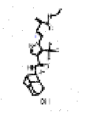 C=C(/C=C/n1ncc(C(=O)N[C@H]2C3CC4CC2C[C@](O)(C4)C3)c1C(F)(F)F)C(=O)NCC